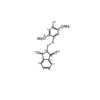 COc1cc(CCN2C(=O)c3ccccc3C2=O)c(OC)cc1I